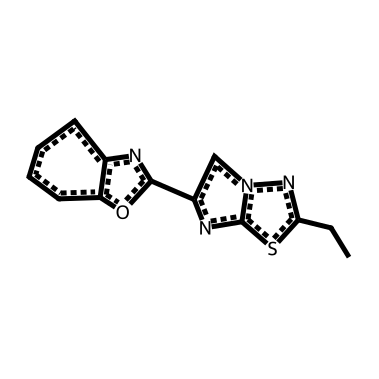 CCc1nn2cc(-c3nc4ccccc4o3)nc2s1